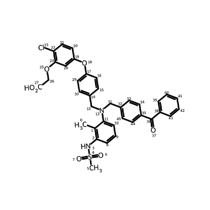 Cc1c(NS(C)(=O)=O)cccc1N(Cc1ccc(Oc2ccc(Cl)c(OCC(=O)O)c2)cc1)Cc1ccc(C(=O)c2ccccc2)cc1